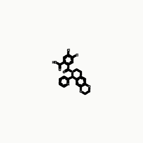 O=C(O)c1cc(Cl)c(Cl)cc1C(=O)N1CCc2cc3c(cc2C1c1ccccn1)OCCO3